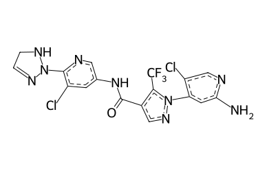 Nc1cc(-n2ncc(C(=O)Nc3cnc(N4N=CCN4)c(Cl)c3)c2C(F)(F)F)c(Cl)cn1